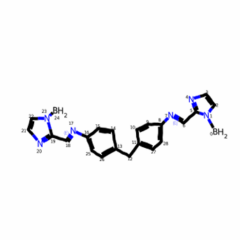 Bn1ccnc1/C=N/c1ccc(Cc2ccc(/N=C/c3nccn3B)cc2)cc1